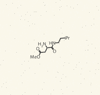 COC(=O)CC(N)C(=O)NCCC(C)C